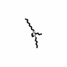 CCCCCCCCN1C=CN(CCCCCC)C1CCC